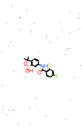 CC1(C)OB(O)c2cc(NC(=O)c3ccc(F)cc3F)ccc21